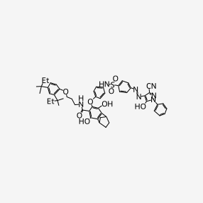 CCC(C)(C)c1ccc(OCCCNC(=O)c2c(O)c3c(c(O)c2Oc2ccc(NS(=O)(=O)c4ccc(N=Nc5c(C#N)nn(-c6ccccc6)c5O)cc4)cc2)C2CCC3C2)c(C(C)(C)CC)c1